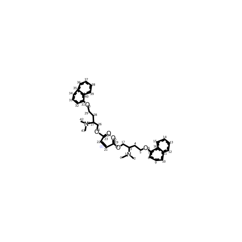 CN(C)C(CCOc1cccc2ccccc12)COC(=O)/C=C\C(=O)OCC(CCOc1cccc2ccccc12)N(C)C